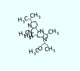 CCC(COC)n1cc(C)c2nc(-c3ccc(C(C)C)nc3NC)c(C)cc21